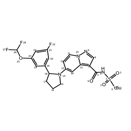 CC(C)(C)S(=O)(=O)NC(=O)c1cnn2ccc(N3CCCC3c3cc(F)cc(OC(F)F)c3)cc12